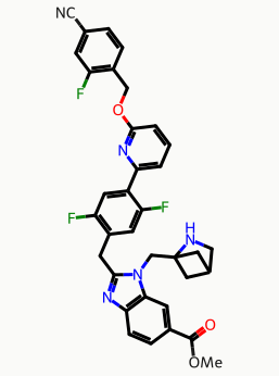 COC(=O)c1ccc2nc(Cc3cc(F)c(-c4cccc(OCc5ccc(C#N)cc5F)n4)cc3F)n(CC34CC(CN3)C4)c2c1